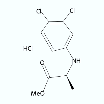 COC(=O)[C@H](C)Nc1ccc(Cl)c(Cl)c1.Cl